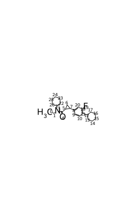 CCN(C(=O)C1CC1c1ccc(C2CCCCC2)c(F)c1)C1CCCCC1